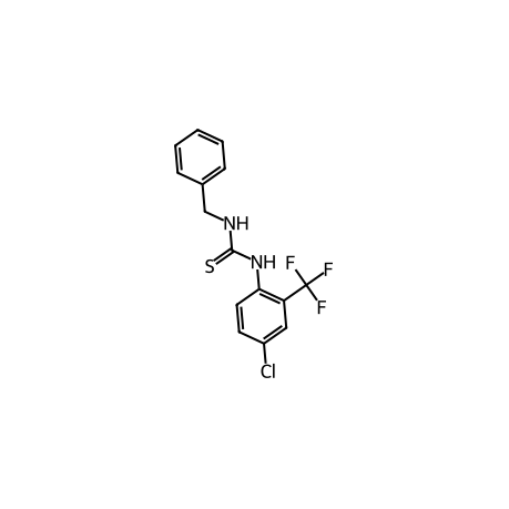 FC(F)(F)c1cc(Cl)ccc1NC(=S)NCc1ccccc1